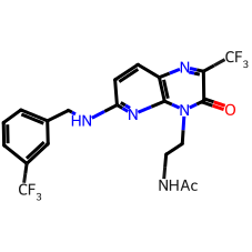 CC(=O)NCCn1c(=O)c(C(F)(F)F)nc2ccc(NCc3cccc(C(F)(F)F)c3)nc21